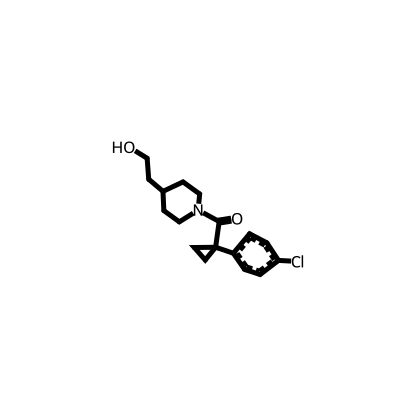 O=C(N1CCC(CCO)CC1)C1(c2ccc(Cl)cc2)CC1